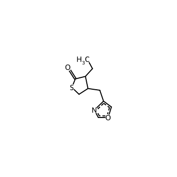 CCC1C(=O)SCC1Cc1cocn1